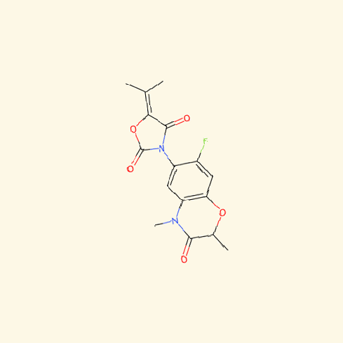 CC(C)=C1OC(=O)N(c2cc3c(cc2F)OC(C)C(=O)N3C)C1=O